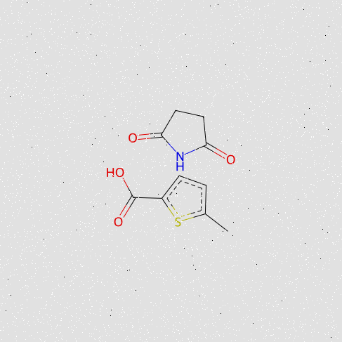 Cc1ccc(C(=O)O)s1.O=C1CCC(=O)N1